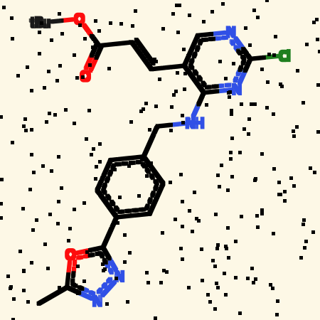 Cc1nnc(-c2ccc(CNc3nc(Cl)ncc3/C=C/C(=O)OC(C)(C)C)cc2)o1